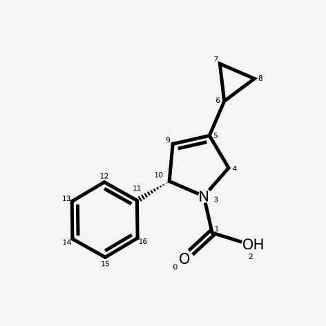 O=C(O)N1CC(C2CC2)=C[C@H]1c1ccccc1